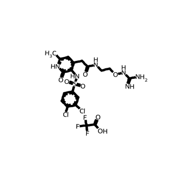 Cc1cc(CC(=O)NCCONC(=N)N)c(NS(=O)(=O)c2ccc(Cl)c(Cl)c2)c(=O)[nH]1.O=C(O)C(F)(F)F